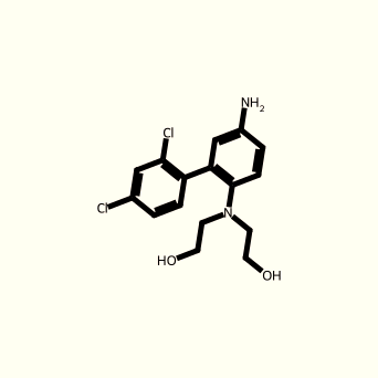 Nc1ccc(N(CCO)CCO)c(-c2ccc(Cl)cc2Cl)c1